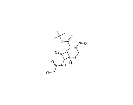 CC(C)(C)OC(=O)C1=C(C=O)CS[C@@H]2C(NC(=O)CCl)C(=O)N12